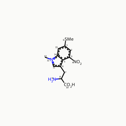 CSc1cc([N+](=O)[O-])c2c(CC(N)C(=O)O)cn(C)c2c1